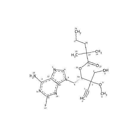 C#CC(CO)(OC)[C@H](Cn1cnc2c(N)nc(F)nc21)OC(=O)C(C)(C)CCC